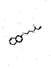 C=CC(=O)OCCOc1ccc2c(c1)C=CCC2